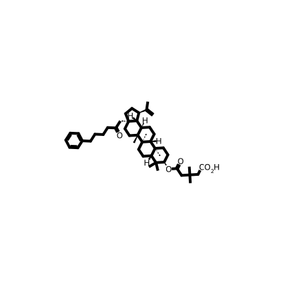 C=C(C)[C@@H]1CC[C@]2(CC(=O)CCCCc3ccccc3)CC[C@]3(C)[C@H](CC[C@@H]4[C@@]5(C)CC[C@H](OC(=O)CC(C)(C)CC(=O)O)C(C)(C)[C@@H]5CC[C@]43C)[C@@H]12